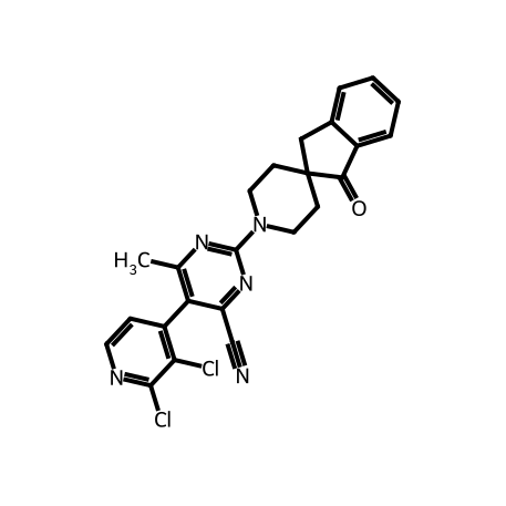 Cc1nc(N2CCC3(CC2)Cc2ccccc2C3=O)nc(C#N)c1-c1ccnc(Cl)c1Cl